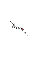 CCCCCCCCOc1ccc(-c2ccc(OC[C@H](F)[C@@H](F)CCCCC)cc2)cc1